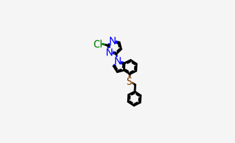 Clc1nccc(-n2ccc3c(SCc4ccccc4)cccc32)n1